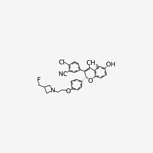 CC1=C(c2ccc(Cl)c(C#N)c2)[C@@H](c2ccc(OCCN3CC(CF)C3)cc2)Oc2ccc(O)cc21